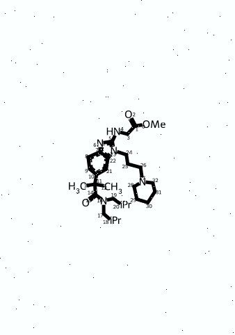 COC(=O)CNc1nc2ccc(C(C)(C)C(=O)N(CC(C)C)CC(C)C)cc2n1CCCN1CCCCC1